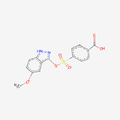 COc1ccc2[nH]nc(OS(=O)(=O)c3ccc(C(=O)O)cc3)c2c1